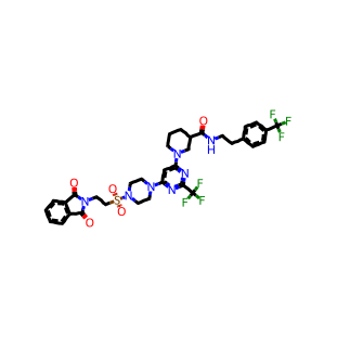 O=C(NCCc1ccc(C(F)(F)F)cc1)C1CCCN(c2cc(N3CCN(S(=O)(=O)CCN4C(=O)c5ccccc5C4=O)CC3)nc(C(F)(F)F)n2)C1